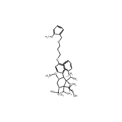 COc1ccccc1COCCCOc1ccc([C@]2(Cc3ccccc3)[C@H](O[SiH3])CN(C(=O)O)C(C(C)C)(C(C)C)[C@@]2(OCCO)C(C)C)cc1